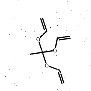 [CH2]C(OC=C)(OC=C)OC=C